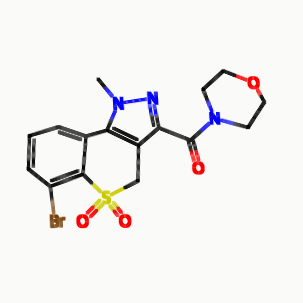 Cn1nc(C(=O)N2CCOCC2)c2c1-c1cccc(Br)c1S(=O)(=O)C2